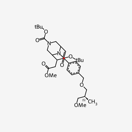 COC[C@H](C)COCc1ccc(C2=CC3CN(C(=O)OC(C)(C)C)CC(C2CC(=O)OC)N3C(=O)OC(C)(C)C)cc1